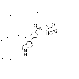 O=C(c1ccc(-c2ccc3[nH]ccc3c2)cc1)N1CCN(C(=O)C2(O)CC2)CC1